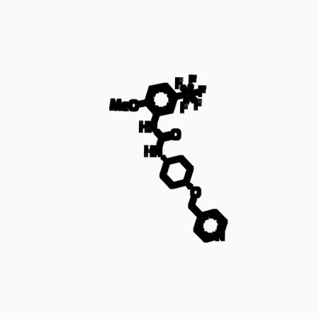 COc1ccc(S(F)(F)(F)(F)F)cc1NC(=O)N[C@H]1CC[C@H](OCc2ccncc2)CC1